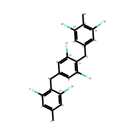 Cc1cc(F)c(Cc2cc(F)c(Cc3cc(F)c(C)c(F)c3)c(F)c2)c(F)c1